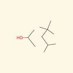 CC(C)CC(C)(C)C.CC(C)O